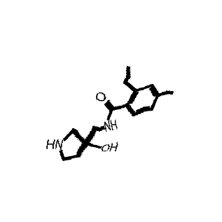 CCc1cc(C)ccc1C(=O)NCC1(O)CCNC1